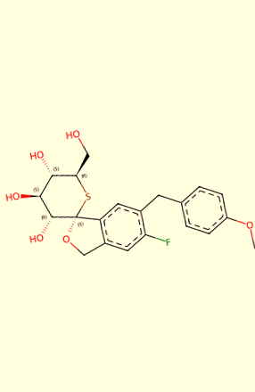 COc1ccc(Cc2cc3c(cc2F)CO[C@]32S[C@H](CO)[C@@H](O)[C@H](O)[C@H]2O)cc1